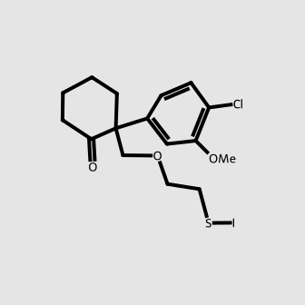 COc1cc(C2(COCCSI)CCCCC2=O)ccc1Cl